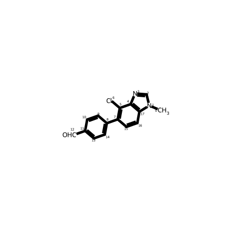 Cn1cnc2c(Cl)c(-c3ccc(C=O)cc3)ccc21